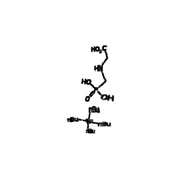 CCCC[N+](CCCC)(CCCC)CCCC.O=C(O)CNCP(=O)(O)O